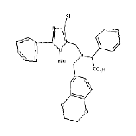 CCCCn1c(-c2ccccc2)nc(Cl)c1CN(Cc1ccc2c(c1)OCCO2)C(C(=O)O)c1ccccc1